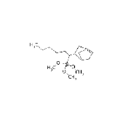 CCCCCC(C1CC2=CCC1C2)[Si](OC)(OC)OC